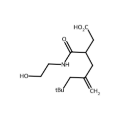 C=C(CC(CC(=O)O)C(=O)NCCO)CC(C)(C)C